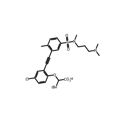 Cc1ccc(S(=O)(=O)N(C)CCCN(C)C)cc1C#Cc1cc(Cl)ccc1OC(C(=O)O)C(C)(C)C